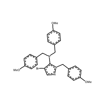 COc1ccc(CN(Cc2ccc(OC)cc2)c2c(Br)cnn2Cc2ccc(OC)cc2)cc1